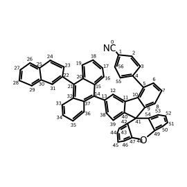 N#Cc1ccc(-c2cccc3c2-c2cc(-c4c5ccccc5c(-c5ccc6ccccc6c5)c5ccccc45)ccc2C32c3ccccc3Oc3ccccc32)cc1